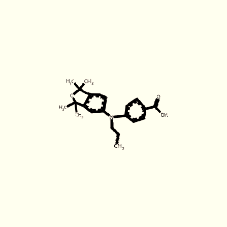 CCCN(c1ccc(C(=O)O)cc1)c1ccc2c(c1)C(C)(C)OC2(C)C